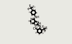 FC(F)(F)c1ccc(Nc2ncnc3sc(Nc4c(Cl)cccc4C(F)(F)F)nc23)cc1